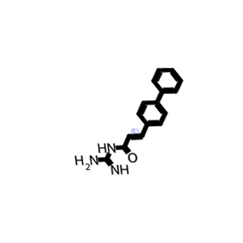 N=C(N)NC(=O)/C=C/c1ccc(-c2ccccc2)cc1